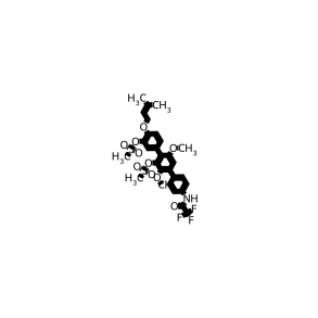 COc1cc(-c2ccc(NC(=O)C(F)(F)F)cc2)c(OC)c(OS(C)(=O)=O)c1-c1ccc(OCC=C(C)C)c(OS(C)(=O)=O)c1